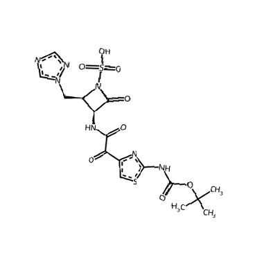 CC(C)(C)OC(=O)Nc1nc(C(=O)C(=O)N[C@@H]2C(=O)N(S(=O)(=O)O)[C@@H]2Cn2cncn2)cs1